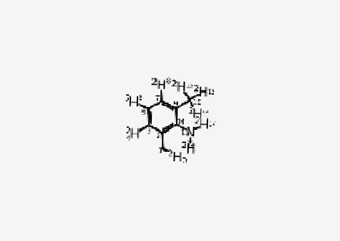 [2H]Cc1c([2H])c([2H])c([2H])c(C([2H])([2H])[2H])c1N([2H])[2H]